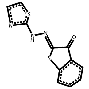 O=C1/C(=N/Nc2nccs2)Sc2ccccc21